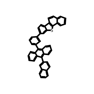 c1cc(-c2ccc3c(c2)sc2c4ccccc4ccc32)cc(-c2c3ccccc3c(-c3ccc4ccccc4c3)c3ccccc23)c1